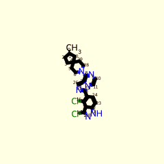 C[C@@H]1CCC2(CCN(c3nccn4c(C5=C(Cl)C6C(Cl)=NNC6C=C5)ncc34)CC2)C1